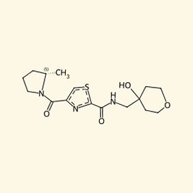 C[C@H]1CCCN1C(=O)c1csc(C(=O)NCC2(O)CCOCC2)n1